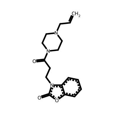 C=CCN1CCN(C(=O)CCn2c(=O)oc3ccccc32)CC1